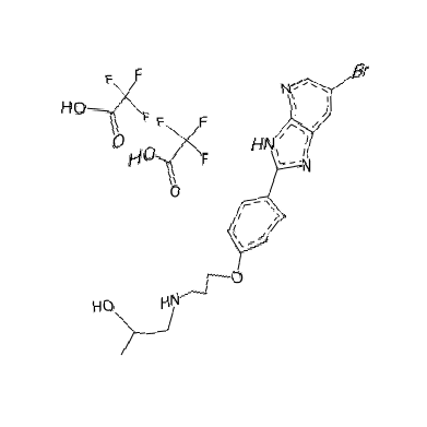 CC(O)CNCCOc1ccc(-c2nc3cc(Br)cnc3[nH]2)cc1.O=C(O)C(F)(F)F.O=C(O)C(F)(F)F